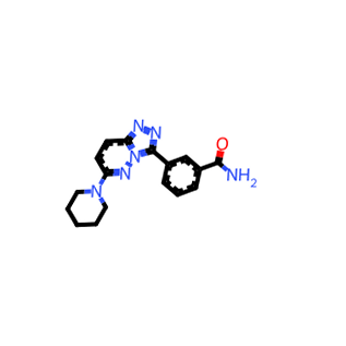 NC(=O)c1cccc(-c2nnc3ccc(N4CCCCC4)nn23)c1